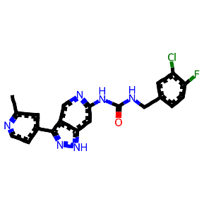 Cc1cc(-c2n[nH]c3cc(NC(=O)NCc4ccc(F)c(Cl)c4)ncc23)ccn1